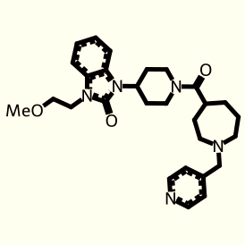 COCCn1c(=O)n(C2CCN(C(=O)C3CCCN(Cc4ccncc4)CC3)CC2)c2ccccc21